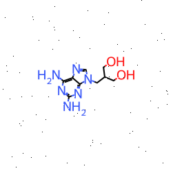 Nc1nc(N)c2ncn(CC(CO)CO)c2n1